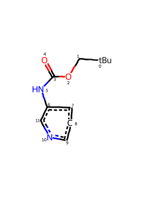 CC(C)(C)COC(=O)Nc1cccnc1